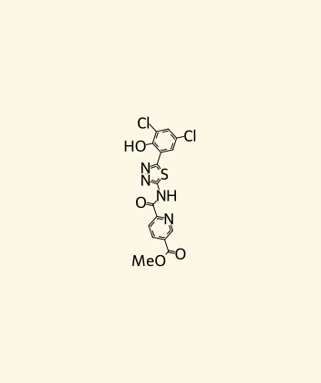 COC(=O)c1ccc(C(=O)Nc2nnc(-c3cc(Cl)cc(Cl)c3O)s2)nc1